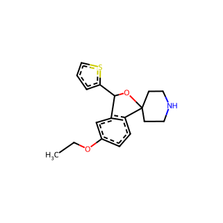 CCOc1ccc2c(c1)C(c1cccs1)OC21CCNCC1